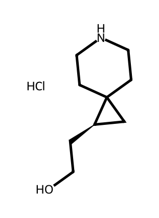 Cl.OCC[C@@H]1CC12CCNCC2